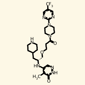 Cc1c(N[C@@H](COCCC(=O)N2CCN(c3ncc(C(F)(F)F)cn3)CC2)CC2CCNCC2)cn[nH]c1=O